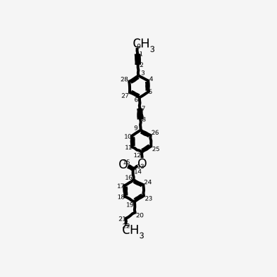 CC#Cc1ccc(C#Cc2ccc(OC(=O)c3ccc(CCC)cc3)cc2)cc1